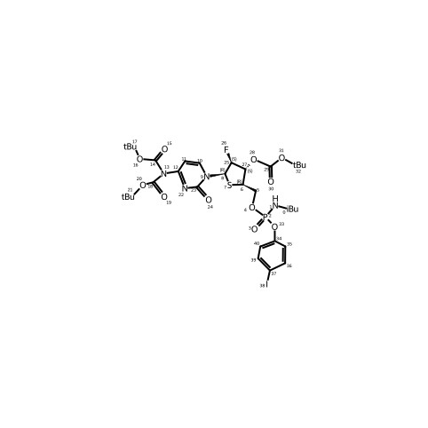 CCC(C)NP(=O)(OC[C@H]1S[C@@H](n2ccc(N(C(=O)OC(C)(C)C)C(=O)OC(C)(C)C)nc2=O)[C@@H](F)[C@@H]1OC(=O)OC(C)(C)C)Oc1ccc(I)cc1